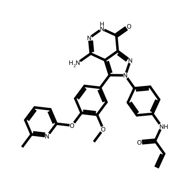 C=CC(=O)Nc1ccc(-n2nc3c(=O)[nH]nc(N)c3c2-c2ccc(Oc3cccc(C)n3)c(OC)c2)cc1